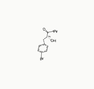 CC(C)C(=O)[C@H](O)Cc1ccc(Br)cc1